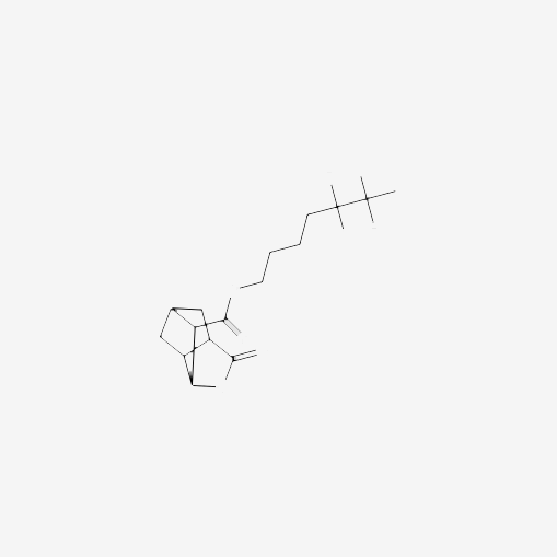 CC(F)(F)C(F)(F)CCCCOC(=O)C1C2CC3C(=O)OC1C3C2